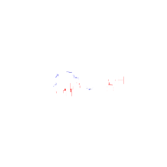 CCC(O)/C=C/C=C\C/C=C\C=C\C(O)C/C=C\CCCC(=O)O